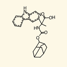 CC(NC(=O)OC1C2CC3CC(C2)CC1C3)(C(=O)O)c1cc2c(cn1)[nH]c1ccccc12